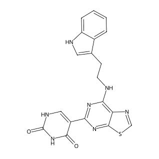 O=c1[nH]cc(-c2nc(NCCc3c[nH]c4ccccc34)c3ncsc3n2)c(=O)[nH]1